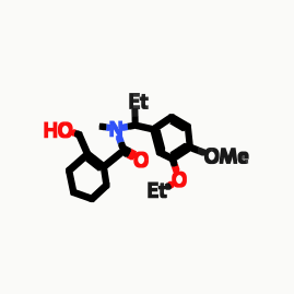 CCOc1cc(C(CC)N(C)C(=O)C2=C(CO)CCCC2)ccc1OC